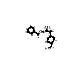 C/C(=N\OC(=O)c1ccccc1)C(=O)c1ccc(CS)cc1